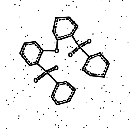 O=S(=O)(c1[c]cccc1)c1ccccc1Oc1ccccc1S(=O)(=O)c1[c]cccc1